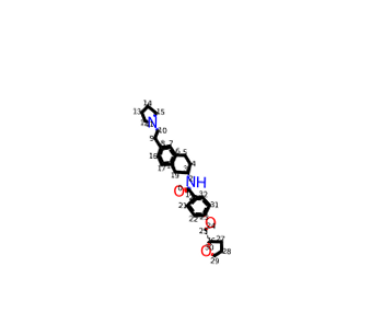 O=C(N[C@H]1CCc2cc(CCN3CCCC3)ccc2C1)c1ccc(OC[C@@H]2CCCO2)cc1